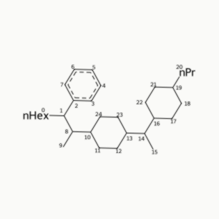 CCCCCCC(c1ccccc1)C(C)C1CCC(C(C)C2CCC(CCC)CC2)CC1